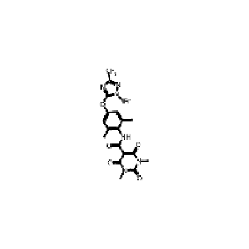 Cc1cc(Oc2nc(C(F)(F)F)nn2C(C)C)cc(C)c1NC(=O)C1C(=O)N(C)C(=O)N(C)C1=O